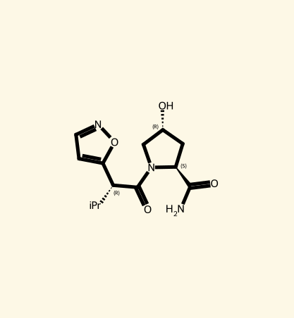 CC(C)[C@@H](C(=O)N1C[C@H](O)C[C@H]1C(N)=O)c1ccno1